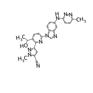 Cc1ccc(Nc2ccc3c(c2)ncn3-c2ccc(C(C)O)c(-c3cc(C#N)n(C)n3)n2)nn1